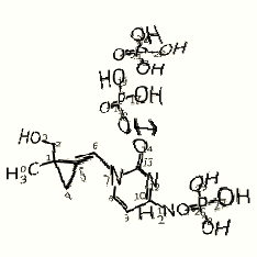 CC1(CO)CC1=Cn1ccc(N)nc1=O.O=P(O)(O)O.O=P(O)(O)O.O=P(O)(O)O